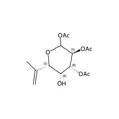 C=C(C)[C@@H]1OC(OC(C)=O)[C@@H](OC(C)=O)[C@H](OC(C)=O)[C@@H]1O